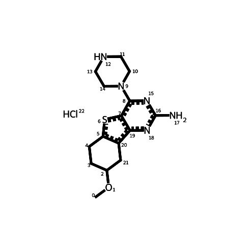 COC1CCc2sc3c(N4CCNCC4)nc(N)nc3c2C1.Cl